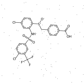 O=C(O)c1ccc(C[S+]([O-])c2ccc(Cl)cc2NS(=O)(=O)c2ccc(Cl)c(C(F)(F)F)c2)cc1